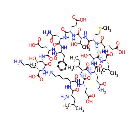 CC[C@H](C)[C@H](NC(=O)[C@H](CCC(=O)O)NC(=O)[C@H](CCCCN)NC(=O)[C@@H](N)CC(C)C)C(=O)N[C@@H](CCC(N)=O)C(=O)N[C@@H](CO)C(=O)N[C@@H](CC(C)C)C(=O)N[C@@H](CCC(=O)O)C(=O)N[C@@H](CCSC)C(=O)N[C@H](C(=O)N[C@@H](CCC(=O)O)C(=O)N[C@@H](CC(N)=O)C(=O)N[C@@H](Cc1ccccc1)C(=O)N[C@@H](CCC(=O)O)C(=O)N[C@H](C(=O)N[C@@H](CCCCN)C(=O)O)[C@@H](C)O)[C@@H](C)O